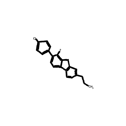 CCCc1ccc2c(c1)Cc1c-2ccc(-c2ccc(Cl)cc2)c1F